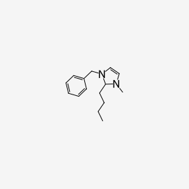 CCCCC1N(C)C=CN1Cc1ccccc1